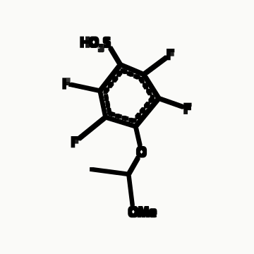 COC(C)Oc1c(F)c(F)c(S(=O)(=O)O)c(F)c1F